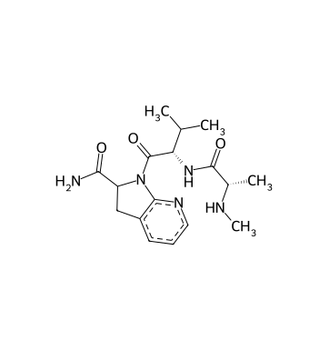 CN[C@@H](C)C(=O)N[C@H](C(=O)N1c2ncccc2CC1C(N)=O)C(C)C